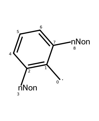 [CH2]c1c(CCCCCCCCC)cccc1CCCCCCCCC